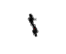 C[C@]12/C(=N\O)C(F)C(N3CCCC3)CC1C(=O)C[C@@H]1[C@H]2CC[C@]2(C)C(OC(=O)/C=C/C(=O)OC3CC[C@H]4[C@@H]5CC(=O)C6CC(N7CCCC7)C(F)/C(=N/O)[C@]6(C)[C@@H]5CC[C@]34C)CC[C@@H]12